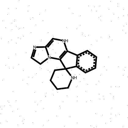 C1=NC2=CNC3=C(N2C1)C1(CCCCN1)c1ccccc13